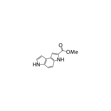 COC(=O)c1cc2c(ccc3[nH]ccc32)[nH]1